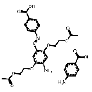 CC(=O)OCCOc1cc(/N=N/c2ccc(C(=O)O)cc2)c(OCCOC(C)=O)cc1N.Nc1ccc(C(=O)O)cc1